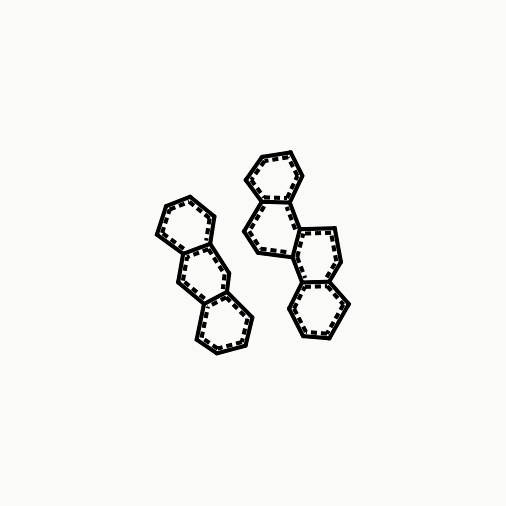 c1ccc2c(c1)ccc1c3ccccc3ccc21.c1ccc2cc3ccccc3cc2c1